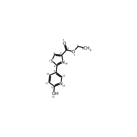 CCOC(=O)c1csc(-c2ccc(O)nc2)n1